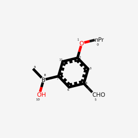 CCCOc1cc(C=O)cc(B(C)O)c1